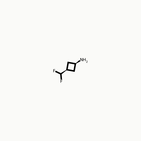 N[C@H]1C[C@@H](C(F)F)C1